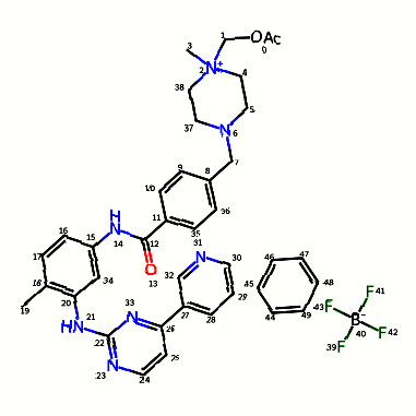 CC(=O)OC[N+]1(C)CCN(Cc2ccc(C(=O)Nc3ccc(C)c(Nc4nccc(-c5cccnc5)n4)c3)cc2)CC1.F[B-](F)(F)F.c1ccccc1